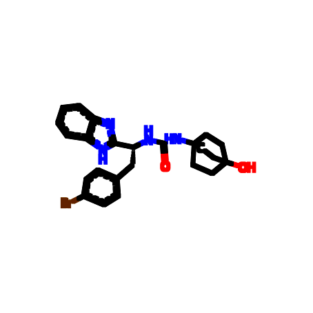 O=C(N[C@H](Cc1ccc(Br)cc1)c1nc2ccccc2[nH]1)NC12CCC(O)(CC1)CC2